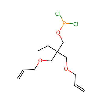 C=CCOCC(CC)(COCC=C)COP(Cl)Cl